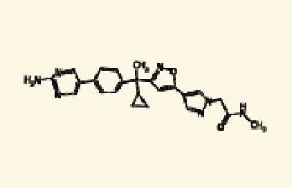 CNC(=O)Cn1cc(-c2cc(C(C)(c3ccc(-c4cnc(N)nc4)cc3)C3CC3)no2)cn1